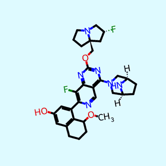 COC1CCCc2cc(O)cc(-c3ncc4c(N5C[C@H]6CC[C@@H](C5)N6)nc(OC[C@@]56CCCN5C[C@H](F)C6)nc4c3F)c21